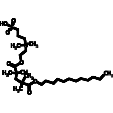 CCCCCCCCCCCCOC(=O)C(C)(C)CC(C)(C)C(=O)OCC[N+](C)(C)CCCS(=O)(=O)O